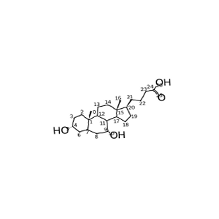 C[C@]12CC[C@@H](O)CC1C[C@@H](O)C1C2CC[C@@]2(C)C1CC[C@@H]2CCCC(=O)O